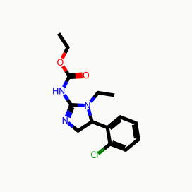 CCOC(=O)NC1=NCC(c2ccccc2Cl)N1CC